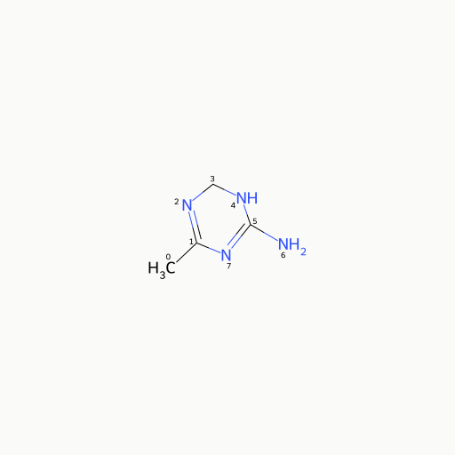 CC1=NCNC(N)=N1